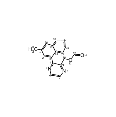 Cc1cc(-c2nccnc2COC=O)c2ccccc2c1